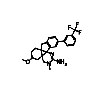 COC1CCC23Cc4ccc(-c5cccc(C(F)(F)F)c5)cc4C24N=C(N)N(C)CC34C1